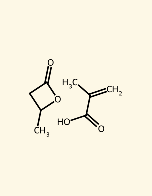 C=C(C)C(=O)O.CC1CC(=O)O1